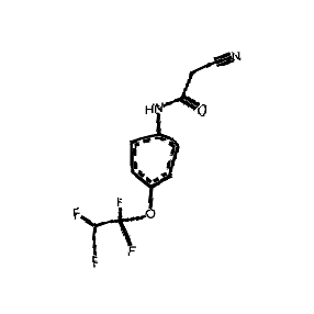 N#CCC(=O)Nc1ccc(OC(F)(F)C(F)F)cc1